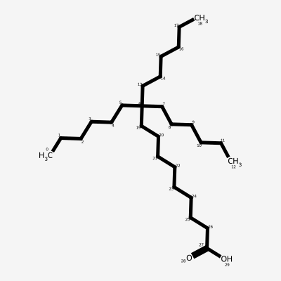 CCCCCCC(CCCCCC)(CCCCCC)CCCCCCCCC(=O)O